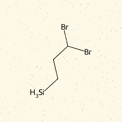 [SiH3]CCC(Br)Br